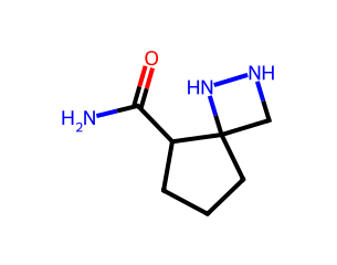 NC(=O)C1CCCC12CNN2